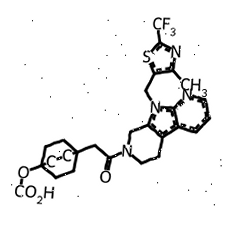 Cc1nc(C(F)(F)F)sc1Cn1c2c(c3cccnc31)CCN(C(=O)CC13CCC(OC(=O)O)(CC1)CC3)C2